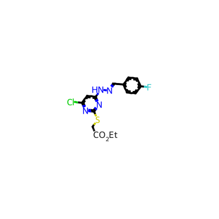 CCOC(=O)CSc1nc(Cl)cc(NN=Cc2ccc(F)cc2)n1